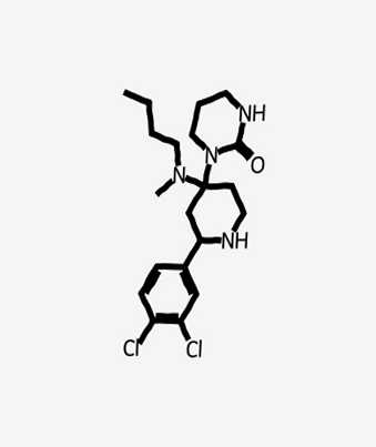 CCCCN(C)C1(N2CCCNC2=O)CCNC(c2ccc(Cl)c(Cl)c2)C1